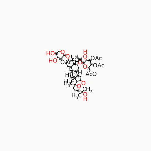 CC(=O)OC[C@H]1O[C@@H](OC2C[C@@H]3[C@]4(CC[C@]5(C)C(C6(C)CC[C@@H](C(C)(C)O)O6)C(=O)C[C@@]35C)C[C@@]43CCC(O[C@@H]4OC[C@@H](O)C(O)[C@H]4OC(C)=O)C(C)(C)[C@H]23)C(O)[C@@H](OC(C)=O)[C@@H]1OC(C)=O